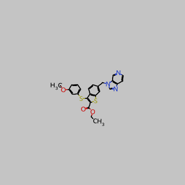 CCOC(=O)c1sc2cc(Cn3cnc4ccncc43)ccc2c1Sc1cccc(OC)c1